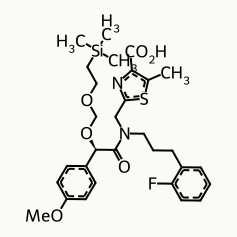 COc1ccc([C@@H](OCOCC[Si](C)(C)C)C(=O)N(CCCc2ccccc2F)Cc2nc(C(=O)O)c(C)s2)cc1